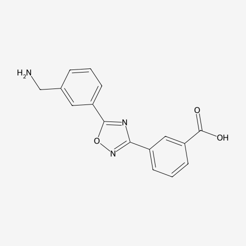 NCc1cccc(-c2nc(-c3cccc(C(=O)O)c3)no2)c1